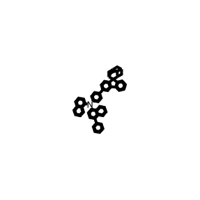 c1ccc(-c2ccc(N(c3ccc(-c4ccc5c(c4)-c4ccccc4C54C5CC6CC(C5)CC4C6)cc3)c3cccc4ccccc34)c3ccccc23)cc1